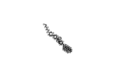 CCCCCCC[C@H]1CC[C@H]([C@H]2CC[C@H](C(=O)Oc3ccc(CCC(F)(F)C(F)(F)C(F)(F)C(F)(F)F)cc3)CC2)CC1